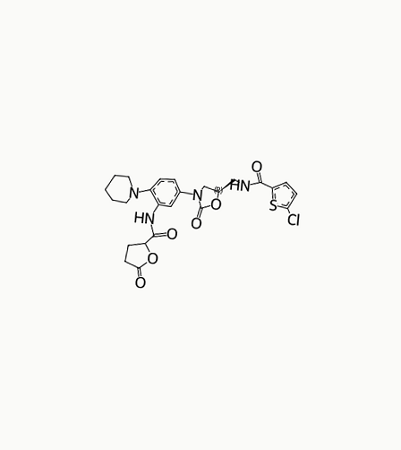 O=C1CCC(C(=O)Nc2cc(N3C[C@@H](CNC(=O)c4ccc(Cl)s4)OC3=O)ccc2N2CCCCC2)O1